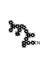 N#Cc1ccc(-c2ccc(-c3c(-c4ccc(-c5nc(-c6ccccc6)nc(-c6ccc(-c7ccc8ccc(-c9ccc(-c%10nc(-c%11ccccc%11)nc(-c%11ccccc%11)n%10)cc9)c(-c9ccc(-c%10ncccn%10)cc9)c8c7)cc6)n5)cc4)ccc4ccccc34)cc2)cc1